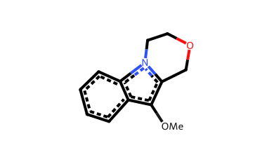 COc1c2n(c3ccccc13)CCOC2